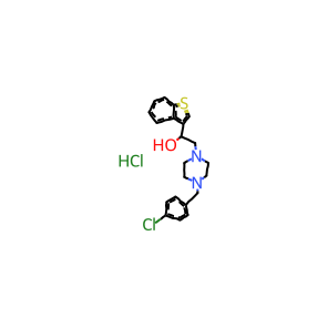 Cl.OC(CN1CCN(Cc2ccc(Cl)cc2)CC1)c1csc2ccccc12